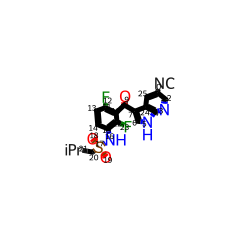 [C-]#[N+]c1cnc2[nH]cc(C(=O)c3c(F)ccc(NS(=O)(=O)CC(C)C)c3F)c2c1